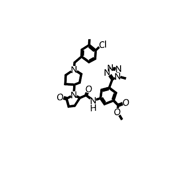 COC(=O)c1cc(NC(=O)C2CCC(=O)N2C2CCN(Cc3ccc(Cl)c(C)c3)CC2)cc(-c2nnnn2C)c1